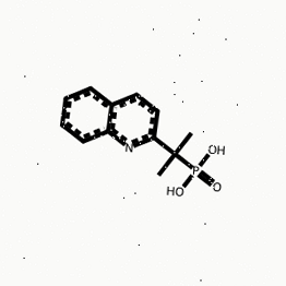 CC(C)(c1ccc2ccccc2n1)P(=O)(O)O